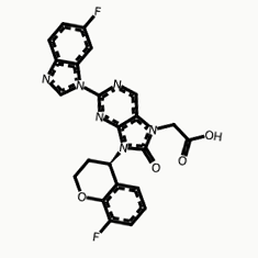 O=C(O)Cn1c(=O)n([C@@H]2CCOc3c(F)cccc32)c2nc(-n3cnc4ccc(F)cc43)ncc21